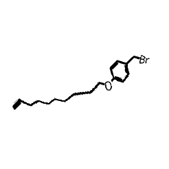 C=CCCCCCCCCOc1ccc(CBr)cc1